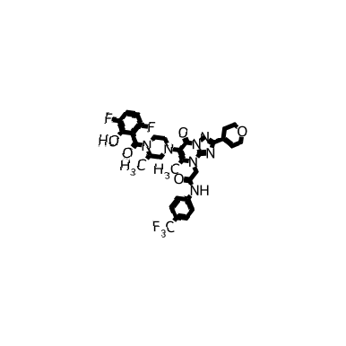 Cc1c(N2CCN(C(=O)c3c(F)ccc(F)c3O)C(C)C2)c(=O)n2nc(C3=CCOCC3)nc2n1CC(=O)Nc1ccc(C(F)(F)F)cc1